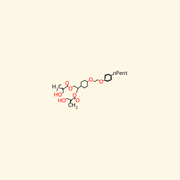 C=C(CO)C(=O)OCC(COC(=O)C(=C)CO)C1CCC(OCCOc2ccc(CCCCC)cc2)CC1